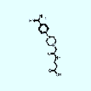 N=C(N)c1ccc(N2CCN(CC(=O)NCCC(=O)O)CC2)cc1